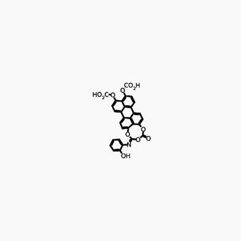 O=C(O)Oc1ccc2c3ccc4c5c(ccc(c6ccc(OC(=O)O)c1c26)c53)OC(=Nc1ccccc1O)OC(=O)O4